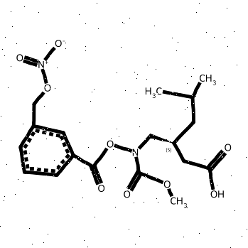 COC(=O)N(C[C@H](CC(=O)O)CC(C)C)OC(=O)c1cccc(CO[N+](=O)[O-])c1